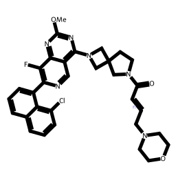 COc1nc(N2CC3(CCN(C(=O)/C=C/CN4CCOCC4)C3)C2)c2cnc(-c3cccc4cccc(Cl)c34)c(F)c2n1